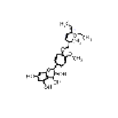 C=C(/C=C\C(=C/C)OCC)COC1C=CC(C2Oc3cc(O)cc(O)c3C(O)C2O)=CC=C1OC